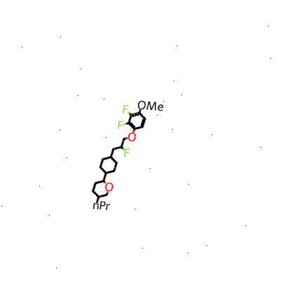 CCCC1CCC(C2CCC(CC(F)COc3ccc(OC)c(F)c3F)CC2)OC1